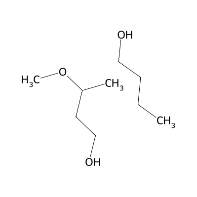 CCCCO.COC(C)CCO